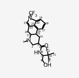 CN1CC(C(=O)NC(CO)C(C)(F)F)CC2c3cccc4c3c(cn4C(F)(F)F)CC21